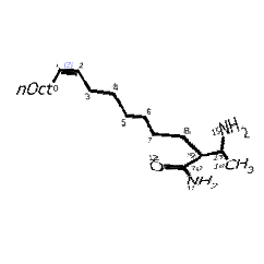 CCCCCCCC/C=C\CCCCCCC(C(N)=O)C(C)N